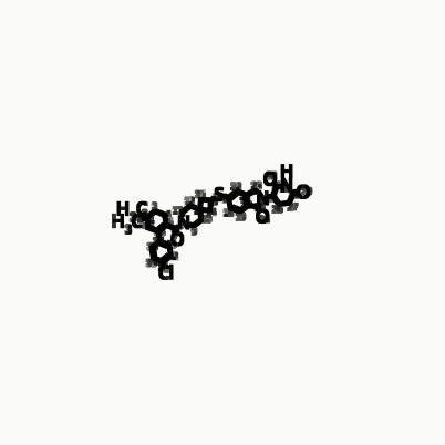 CC1(C)CCC(C(=O)N2CCC3(CC2)CC(Sc2ccc4c(c2)CN(C2CCC(=O)NC2=O)C4=O)C3)=C(c2ccc(Cl)cc2)C1